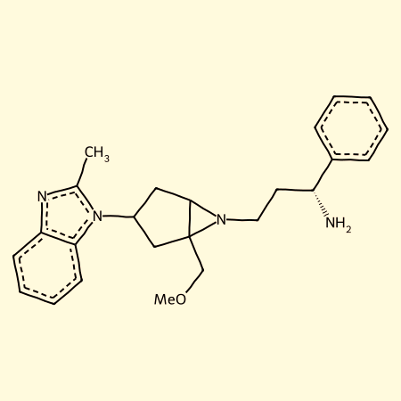 COCC12CC(n3c(C)nc4ccccc43)CC1N2CC[C@@H](N)c1ccccc1